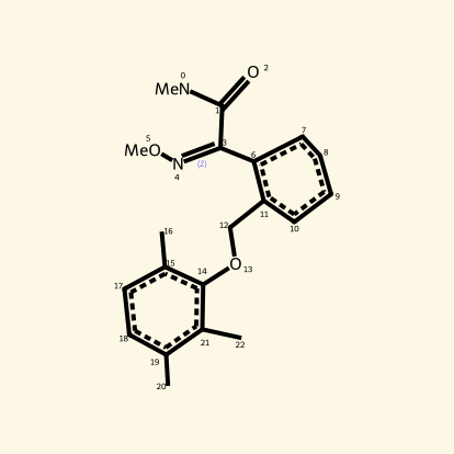 CNC(=O)/C(=N\OC)c1ccccc1COc1c(C)ccc(C)c1C